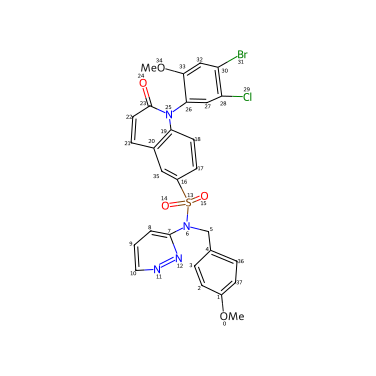 COc1ccc(CN(c2cccnn2)S(=O)(=O)c2ccc3c(ccc(=O)n3-c3cc(Cl)c(Br)cc3OC)c2)cc1